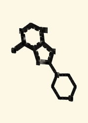 O=c1nc[nH]c2nc(N3CCOCC3)sc12